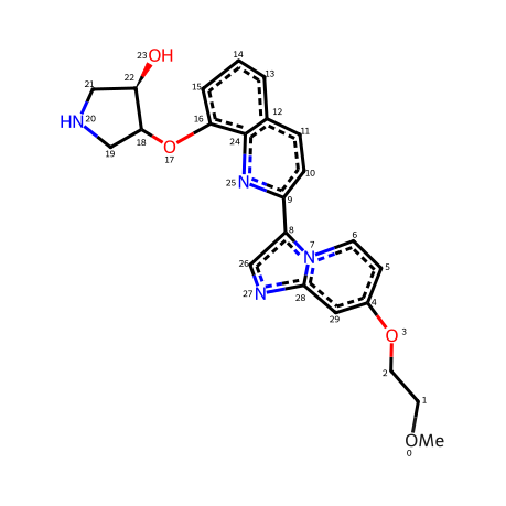 COCCOc1ccn2c(-c3ccc4cccc(OC5CNC[C@H]5O)c4n3)cnc2c1